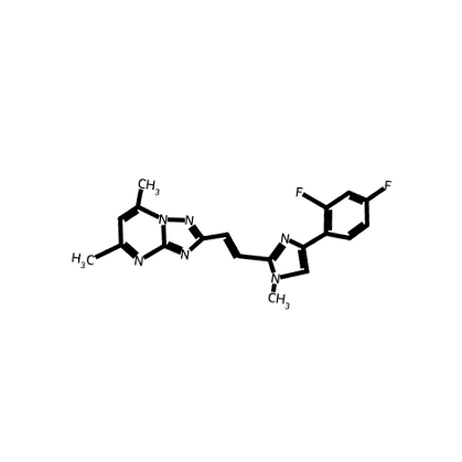 Cc1cc(C)n2nc(C=Cc3nc(-c4ccc(F)cc4F)cn3C)nc2n1